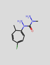 CC1C=CC(F)=CC=C1N(N)C(=O)N(C)N